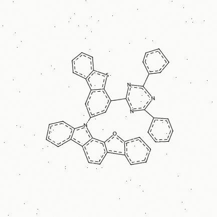 c1ccc(-c2nc(-c3ccccc3)nc(-c3cc(-n4c5ccccc5c5ccc6c7ccccc7oc6c54)cc4c3sc3ccccc34)n2)cc1